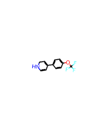 FC(F)(F)Oc1ccc(C2=CCNC=C2)cc1